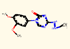 CNNc1ncn(-c2ccc(OC)c(OC)c2)c(=O)n1